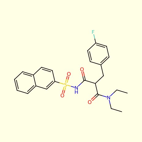 CCN(CC)C(=O)C(Cc1ccc(F)cc1)C(=O)NS(=O)(=O)c1ccc2ccccc2c1